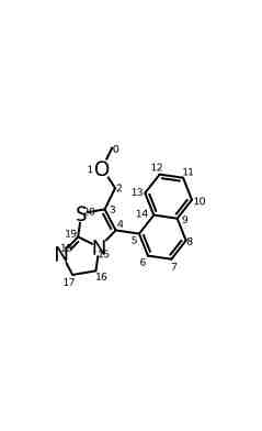 COCC1=C(c2cccc3ccccc23)N2CCN=C2S1